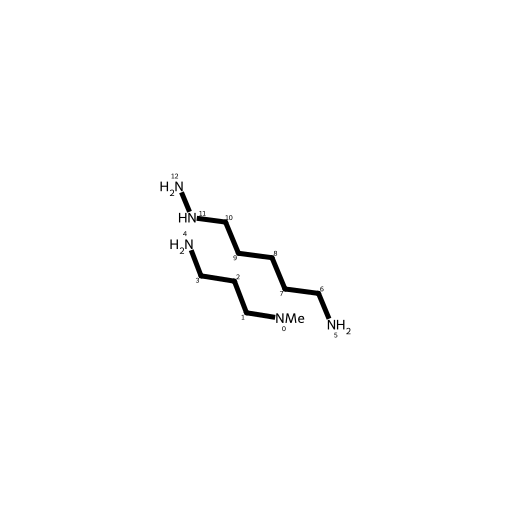 CNCCCN.NCCCCCNN